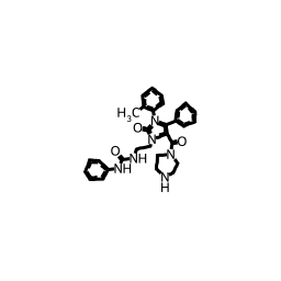 Cc1ccccc1-n1c(-c2ccccc2)c(C(=O)N2CCNCC2)n(CCNC(=O)Nc2ccccc2)c1=O